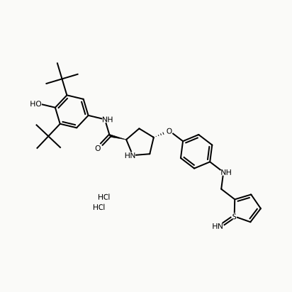 CC(C)(C)c1cc(NC(=O)[C@H]2C[C@H](Oc3ccc(NCC4=CC=CS4=N)cc3)CN2)cc(C(C)(C)C)c1O.Cl.Cl